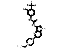 CCN1CCN(c2ccc3[nH]cc(NC(=O)Nc4ccc(C(F)(F)F)c(Cl)c4)c3n2)CC1